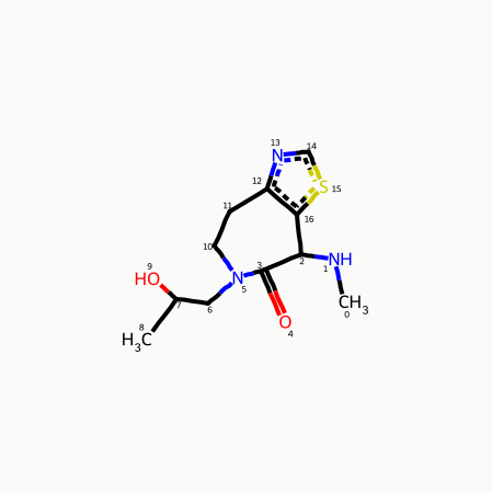 CNC1C(=O)N(CC(C)O)CCc2ncsc21